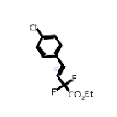 CCOC(=O)C(F)(F)/C=C/c1ccc(Cl)cc1